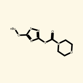 CCCCOc1nc(SC(=O)N2CCOCC2)ns1